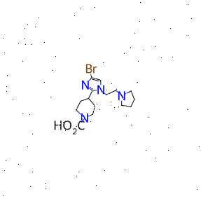 O=C(O)N1CCC(c2nc(Br)cn2CCN2CCCC2)CC1